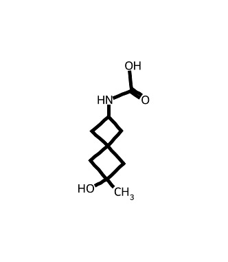 CC1(O)CC2(CC(NC(=O)O)C2)C1